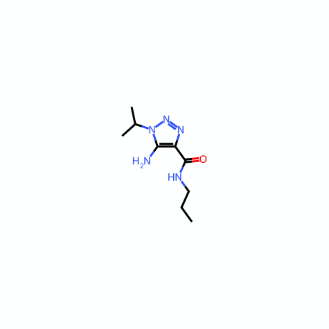 CCCNC(=O)c1nnn(C(C)C)c1N